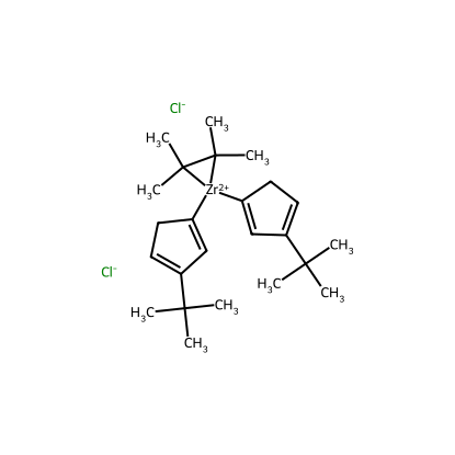 CC(C)(C)C1=CC[C]([Zr+2]2([C]3=CC(C(C)(C)C)=CC3)[C](C)(C)[C]2(C)C)=C1.[Cl-].[Cl-]